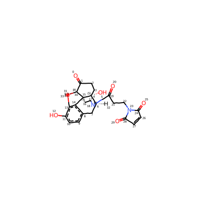 O=C1CC[C@@]2(O)[C@H]3Cc4ccc(O)c5c4[C@@]2(CCN3C(=O)CCN2C(=O)C=CC2=O)[C@H]1O5